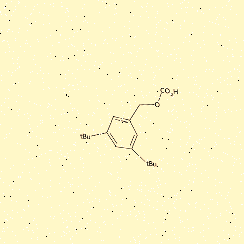 CC(C)(C)c1cc(COC(=O)O)cc(C(C)(C)C)c1